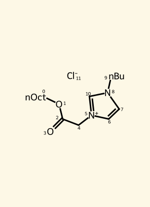 CCCCCCCCOC(=O)C[n+]1ccn(CCCC)c1.[Cl-]